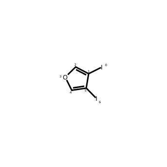 Ic1cocc1I